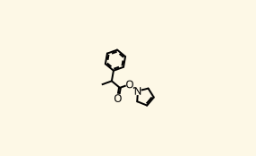 CC(C(=O)ON1CC=CC1)c1ccccc1